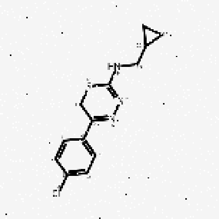 Clc1ccc(C2=NN=C(NCC3CC3)SC2)cc1